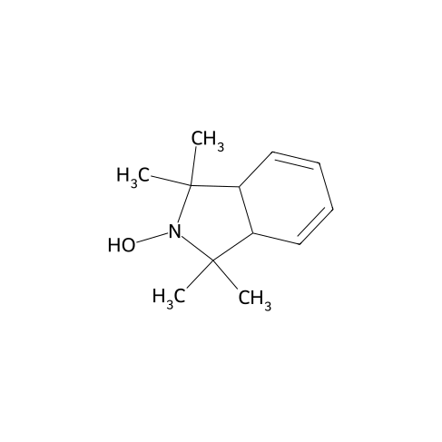 CC1(C)C2C=CC=CC2C(C)(C)N1O